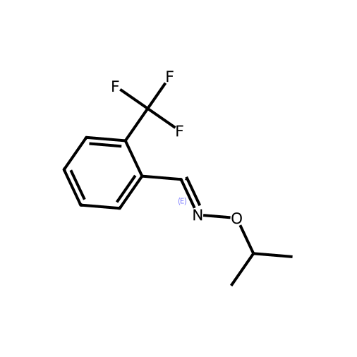 CC(C)O/N=[C]/c1ccccc1C(F)(F)F